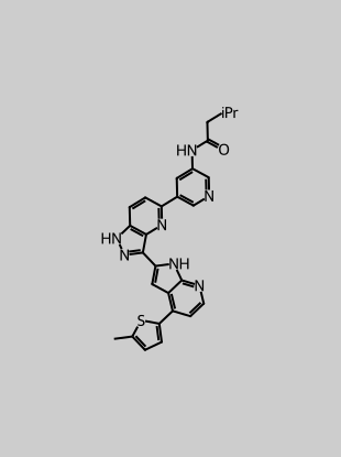 Cc1ccc(-c2ccnc3[nH]c(-c4n[nH]c5ccc(-c6cncc(NC(=O)CC(C)C)c6)nc45)cc23)s1